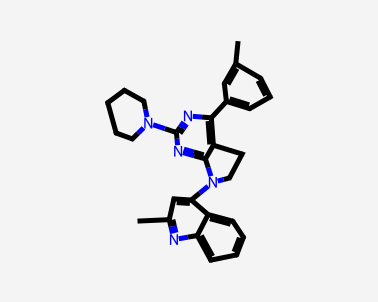 Cc1cccc(-c2nc(N3CCCCC3)nc3c2CCN3c2cc(C)nc3ccccc23)c1